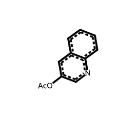 CC(=O)Oc1cnc2ccccc2c1